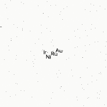 [Au].[Ir].[Ni].[Ru]